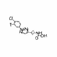 O=C(O)NC12CC(c3cnn(-c4ccc(Cl)c(F)c4)n3)(C1)C2